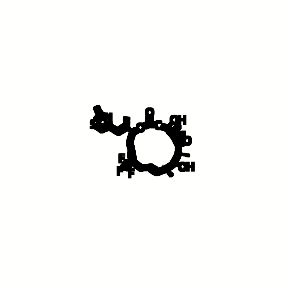 C/C(=C\c1csc(C)n1)[C@@H]1C/C=C(/C(F)(F)F)C/C=C/[C@H](C)[C@H](O)[C@@H](C)C(=O)C(C)(C)[C@@H](O)CC(=O)O1